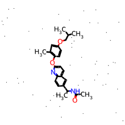 CC(=O)NC(C)c1ccc2nc(Oc3ccc(OCC(C)C)cc3C)ccc2c1